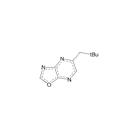 CC(C)(C)Cc1cnc2ocnc2n1